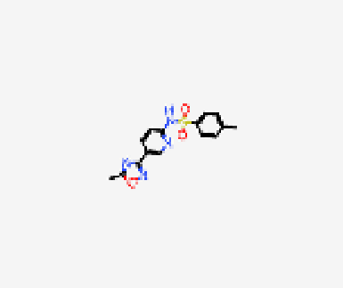 Cc1ccc(S(=O)(=O)Nc2ccc(-c3noc(C)n3)cn2)cc1